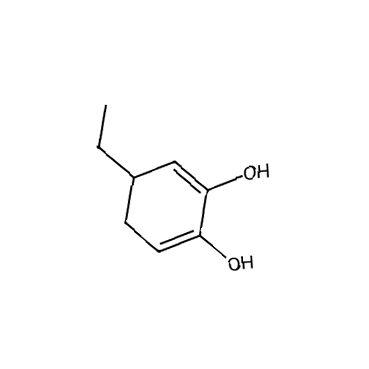 CCC1C=C(O)C(O)=CC1